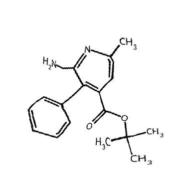 Cc1cc(C(=O)OC(C)(C)C)c(-c2ccccc2)c(N)n1